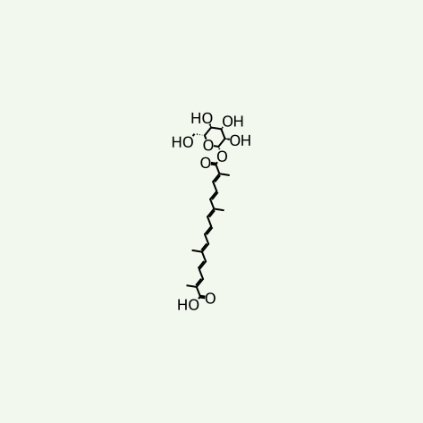 CC(/C=C/C=C(\C)C(=O)O)=C\C=C\C=C(C)\C=C\C=C(/C)C(=O)O[C@@H]1O[C@H](CO)[C@@H](O)[C@H](O)[C@H]1O